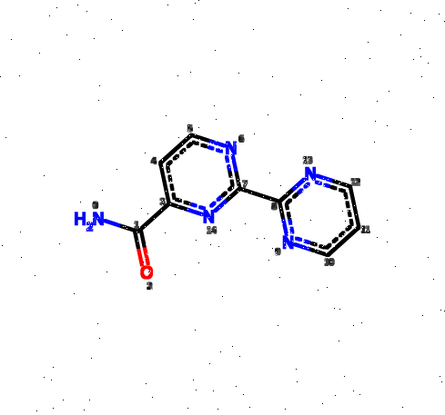 NC(=O)c1ccnc(-c2ncccn2)n1